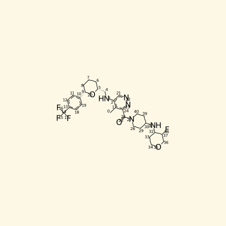 Cc1c(NC[C@H]2CCC[C@@H](c3ccc(C(F)(F)F)cc3)O2)cnnc1C(=O)N1CCC(NC2CCOCC2F)CC1